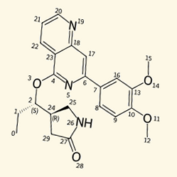 CC[C@H](Oc1nc(-c2ccc(OC)c(OC)c2)cc2ncccc12)[C@H]1CNC(=O)C1